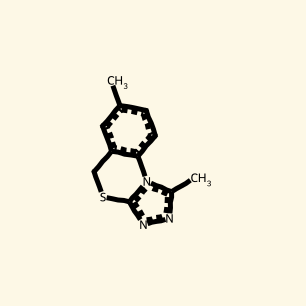 Cc1ccc2c(c1)CSc1nnc(C)n1-2